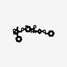 Cc1onc(-c2ccccc2)c1COc1ccc(C(=O)NC2CC(OCc3ccccc3)C2)cn1